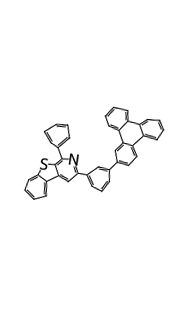 c1ccc(-c2nc(-c3cccc(-c4ccc5c6ccccc6c6ccccc6c5c4)c3)cc3c2sc2ccccc23)cc1